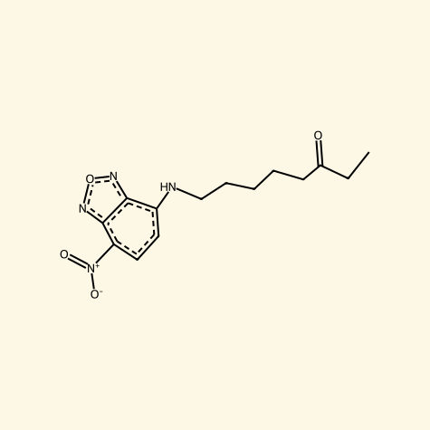 CCC(=O)CCCCCNc1ccc([N+](=O)[O-])c2nonc12